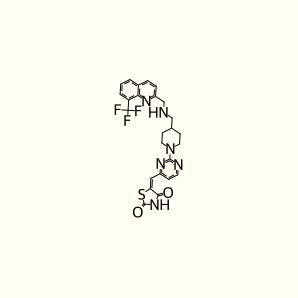 O=C1NC(=O)/C(=C\c2ccnc(N3CCC(CNCc4ccc5cccc(C(F)(F)F)c5n4)CC3)n2)S1